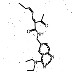 CC/C=C\C=C(/C(C)=O)C(=O)NCc1ccc2ncnc(N(CC)CC)c2c1